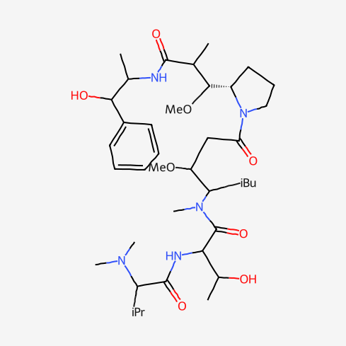 CCC(C)C(C(CC(=O)N1CCC[C@H]1C(OC)C(C)C(=O)NC(C)C(O)c1ccccc1)OC)N(C)C(=O)C(NC(=O)C(C(C)C)N(C)C)C(C)O